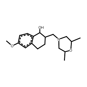 COc1ccc2c(c1)CCC(CN1CC(C)OC(C)C1)C2O